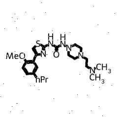 CCCc1ccc(OC)c(-c2csc(NC(=O)NN3CCN(CCN(C)C)CC3)n2)c1